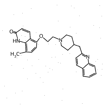 Cc1ccc(OCCN2CCC(Cc3ccc4ccccc4n3)CC2)c2ccc(=O)[nH]c12